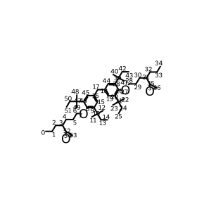 CCCC(CCCOc1c(C(C)(C)CC)cc(Cc2cc(C(C)(C)CC)c(OCCCC(CCC)C3CO3)c(C(C)(C)CC)c2)cc1C(C)(C)CC)C1CO1